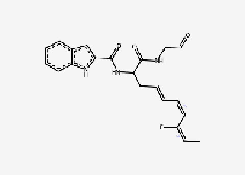 C/C=C(F)\C=C/C=CCC(NC(=O)c1cc2ccccc2[nH]1)C(=O)NCC=O